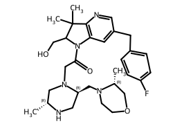 C[C@@H]1CN(CC(=O)N2c3cc(Cc4ccc(F)cc4)cnc3C(C)(C)C2CO)[C@@H](CN2CCOC[C@H]2C)CN1